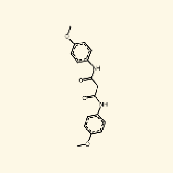 COc1ccc(NC(=O)CC(=O)Nc2ccc(OC)cc2)cc1